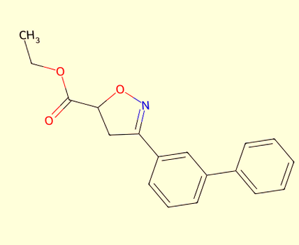 CCOC(=O)C1CC(c2cccc(-c3ccccc3)c2)=NO1